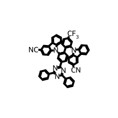 N#Cc1ccc2c(c1)c1ccccc1n2-c1cc(-c2nc(-c3ccccc3)nc(-c3ccccc3)n2)ccc1-c1ccc(C(F)(F)F)cc1-n1c2ccccc2c2cc(C#N)ccc21